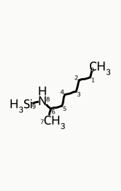 CCCCCCC(C)N[SiH3]